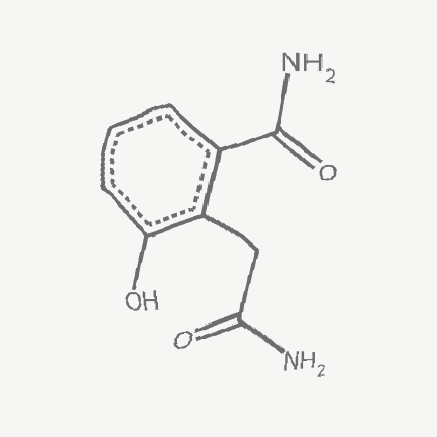 NC(=O)Cc1c(O)cccc1C(N)=O